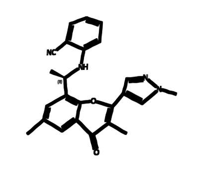 Cc1cc([C@@H](C)Nc2ccccc2C#N)c2oc(-c3cnn(C)c3)c(C)c(=O)c2c1